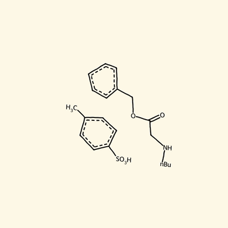 CCCCNCC(=O)OCc1ccccc1.Cc1ccc(S(=O)(=O)O)cc1